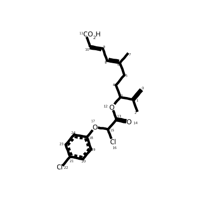 C=C(C)C(CCC(C)=CC=CC(=O)O)OC(=O)C(Cl)Oc1ccc(Cl)cc1